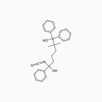 CC(C)(CCCC(O)(N=C=O)c1ccccc1)[Si](O)(c1ccccc1)c1ccccc1